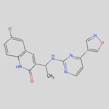 CC(Nc1nccc(-c2cnoc2)n1)c1cc2cc(Cl)ccc2[nH]c1=O